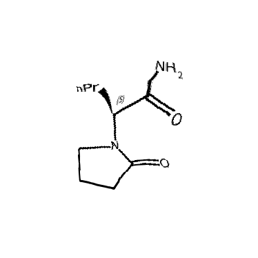 CCC[C@@H](C(N)=O)N1CCCC1=O